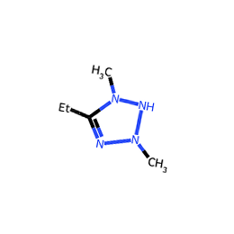 CCC1=NN(C)NN1C